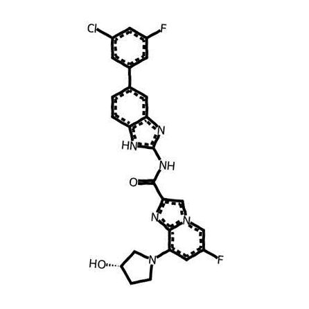 O=C(Nc1nc2cc(-c3cc(F)cc(Cl)c3)ccc2[nH]1)c1cn2cc(F)cc(N3CC[C@H](O)C3)c2n1